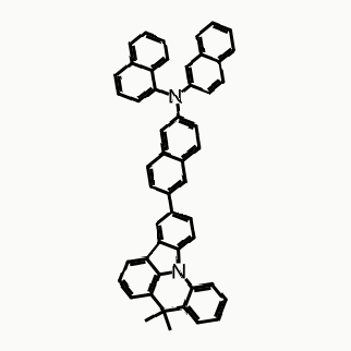 CC1(C)c2ccccc2-n2c3ccc(-c4ccc5cc(N(c6ccc7ccccc7c6)c6cccc7ccccc67)ccc5c4)cc3c3cccc1c32